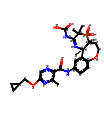 Cc1nc(OCC2CC2)cnc1C(=O)Nc1ccc2c(c1)[C@@]1(C)N=C(NC(=O)O)C(C)(C)S(=O)(=O)[C@@H]1CCO2